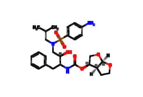 CC(C)CN(C[C@@H](O)C(Cc1ccccc1)NC(=O)O[C@H]1CO[C@H]2OCC[C@H]21)S(=O)(=O)c1ccc(N)cc1